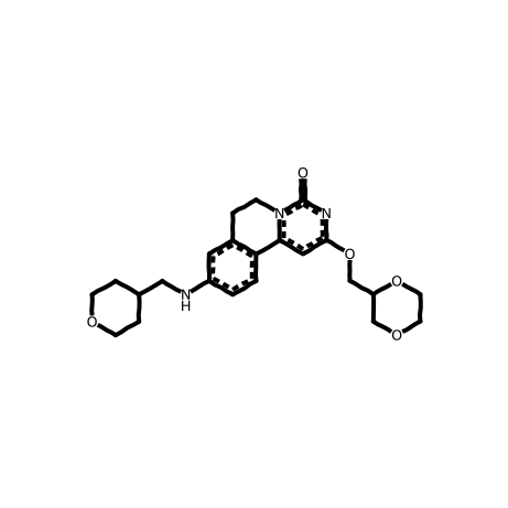 O=c1nc(OCC2COCCO2)cc2n1CCc1cc(NCC3CCOCC3)ccc1-2